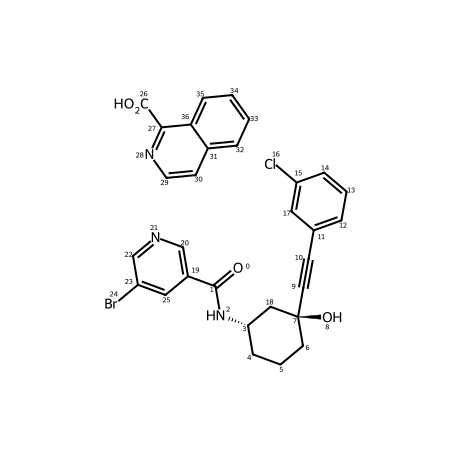 O=C(N[C@H]1CCC[C@@](O)(C#Cc2cccc(Cl)c2)C1)c1cncc(Br)c1.O=C(O)c1nccc2ccccc12